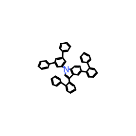 c1ccc(-c2cc(-c3ccccc3)cc(-n3cc(-c4ccccc4-c4ccccc4)c4cc(-c5ccccc5-c5ccccc5)ccc43)c2)cc1